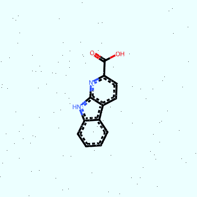 O=C(O)c1ccc2c(n1)[nH]c1ccccc12